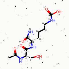 CC(=O)N[C@@H](CO)C(=O)N[C@@H](CCCCNC(=O)O)C(N)=O